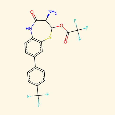 N[C@@H]1C(=O)Nc2ccc(-c3ccc(C(F)(F)F)cc3)cc2SC1OC(=O)C(F)(F)F